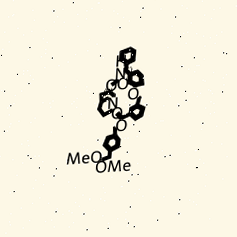 COC(Cc1ccc(COC(=O)c2cccc(COc3cccc([C@@H](NC(=O)O[C@@H]4CC5CCCN(C5)C4)c4ccccc4)c3)c2)cc1)OC